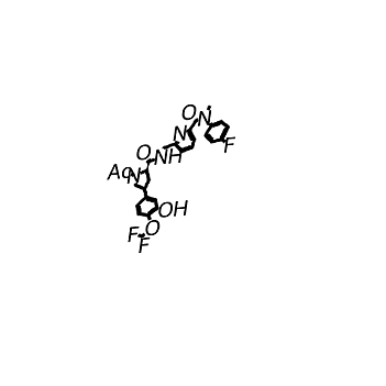 CC(=O)N1CC(c2ccc(OC(F)F)c(O)c2)C[C@@H]1C(=O)NCc1cccc(C(=O)N(C)c2ccc(F)cc2)n1